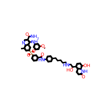 COc1cccc(Nc2c(C(N)=O)cnc3c(C)cc(S(=O)(=O)c4cccc(C(=O)Nc5ccc(CCCCCNC[C@H](O)c6ccc(O)c7[nH]c(=O)ccc67)cc5)c4)cc23)c1